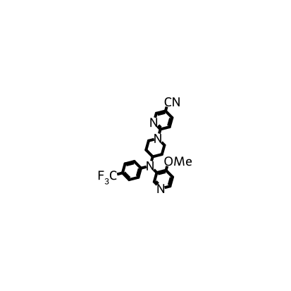 COc1ccncc1N(c1ccc(C(F)(F)F)cc1)C1CCN(c2ccc(C#N)cn2)CC1